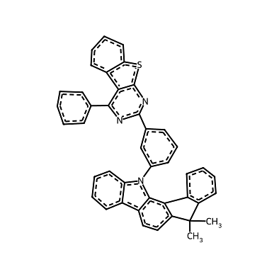 CC1(C)c2ccccc2-c2c1ccc1c3ccccc3n(-c3cccc(-c4nc(-c5ccccc5)c5c(n4)sc4ccccc45)c3)c21